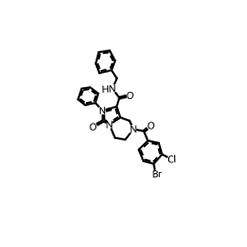 O=C(NCc1ccccc1)c1c2n(c(=O)n1-c1ccccc1)CCN(C(=O)c1ccc(Br)c(Cl)c1)C2